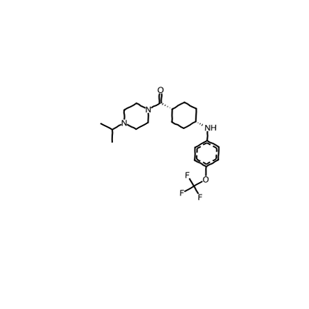 CC(C)N1CCN(C(=O)[C@H]2CC[C@@H](Nc3ccc(OC(F)(F)F)cc3)CC2)CC1